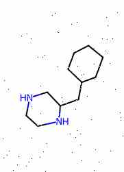 C1CCC(CC2CNCCN2)CC1